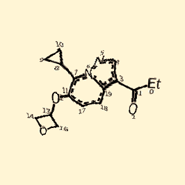 CCC(=O)c1cnn2c(C3CC3)c(OC3COC3)ccc12